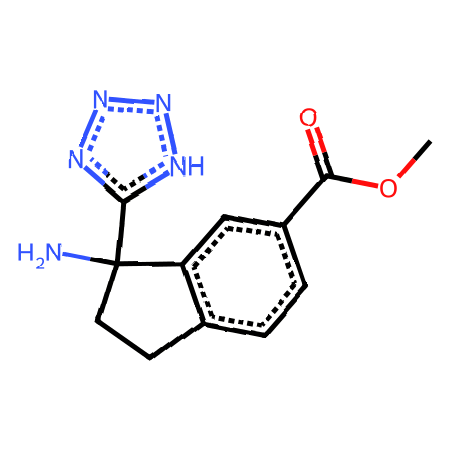 COC(=O)c1ccc2c(c1)C(N)(c1nnn[nH]1)CC2